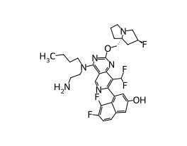 CCCCN(CCN)c1nc(OC[C@]23CCCN2C[C@@H](F)C3)nc2c(C(F)F)c(-c3cc(O)cc4ccc(F)c(F)c34)ncc12